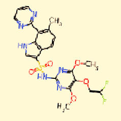 COc1nc(NS(=O)(=O)c2c[nH]c3c(-c4ncccn4)c(C)ccc23)nc(OC)c1OCC(F)F